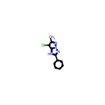 Cc1nn2nc(-c3ccccc3)[nH]c2c1Cl